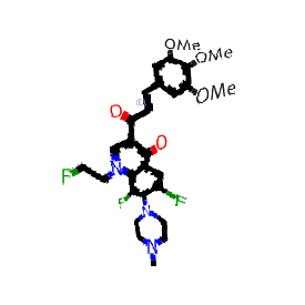 COc1cc(/C=C/C(=O)c2cn(CCF)c3c(F)c(N4CCN(C)CC4)c(F)cc3c2=O)cc(OC)c1OC